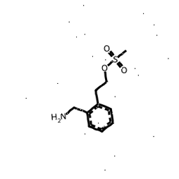 CS(=O)(=O)OCCc1ccccc1CN